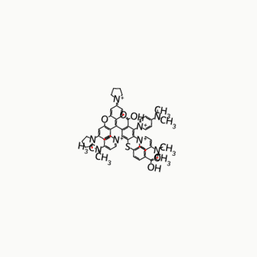 CN(C)c1cc[n+](-c2c(Sc3ccc(C(=O)O)cc3)c(-[n+]3ccc(N(C)C)cc3)c(-[n+]3ccc(N(C)C)cc3)c(C(=O)O)c2-c2c3ccc(=[N+]4CCCC4)cc-3oc3cc(N4CCCC4)ccc23)cc1